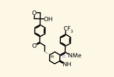 CN/C(=C1/C[C@@H](CCC(=O)c2ccc(C3(O)COC3)cc2)CCC1=N)c1ccc(C(F)(F)F)cc1